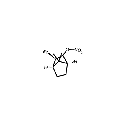 CC(C)[C@H]1C(O[N+](=O)[O-])[C@H]2CC[C@@H]1C2(C)C